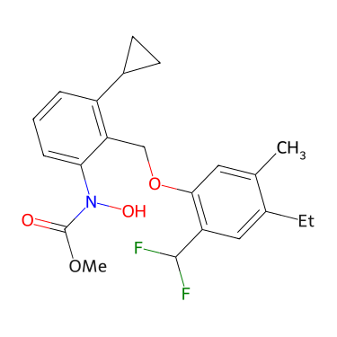 CCc1cc(C(F)F)c(OCc2c(C3CC3)cccc2N(O)C(=O)OC)cc1C